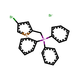 Brc1csc(C[P+](c2ccccc2)(c2ccccc2)c2ccccc2)c1.[Br-]